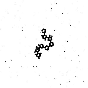 Cc1cc(C)c(-c2cc(-c3cc(-c4cccc(-c5cccc(-c6cc[n+](C)c(-c7cc(-c8ccccc8)c(C)cc7C)c6)c5)c4)ccc3C)[n+](C)cc2C)c(C)c1